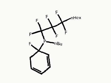 CCCCCCC(F)(F)C(F)(F)C(F)(F)P(CCCC)C1(F)C=CC=CC1